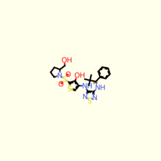 CC(C)(C)[C@@H](Nc1nsnc1Nc1csc(S(=O)(=O)N2CCCC2CO)c1O)c1ccccc1